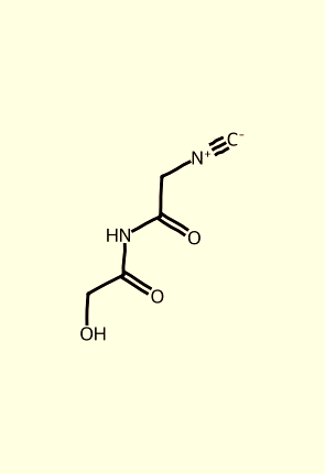 [C-]#[N+]CC(=O)NC(=O)CO